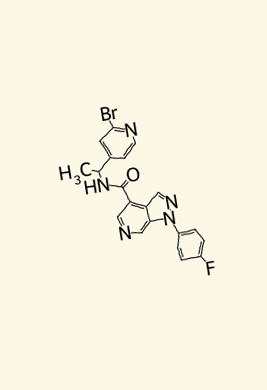 CC(NC(=O)c1cncc2c1cnn2-c1ccc(F)cc1)c1ccnc(Br)c1